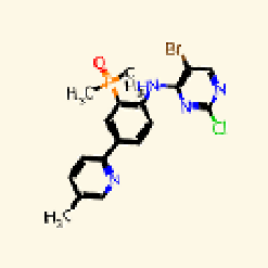 Cc1ccc(-c2ccc(Nc3nc(Cl)ncc3Br)c(P(C)(C)=O)c2)nc1